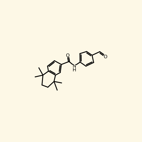 CC1(C)CCC(C)(C)c2cc(C(=O)Nc3ccc(C=O)cc3)ccc21